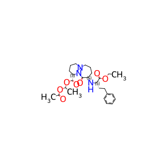 CCOC(=O)[C@H](CCc1ccccc1)N[C@H]1CCCN2CCC[C@@H](C(=O)OC(C)OC(C)=O)N2C1=O